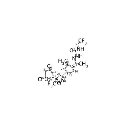 CC(=NNC(=O)NCC(F)(F)F)c1ccc(C2=NOC(c3cc(Cl)cc(Cl)c3)(C(F)(F)F)C2)cc1C